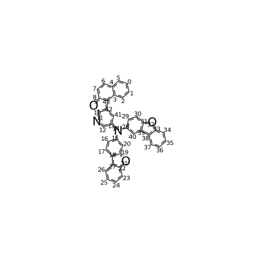 c1ccc2c(c1)ccc1oc3ncc(N(c4ccc5c(c4)oc4ccccc45)c4ccc5oc6ccccc6c5c4)cc3c12